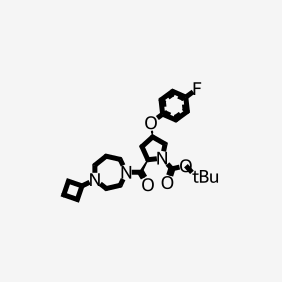 CC(C)(C)OC(=O)N1C[C@@H](Oc2ccc(F)cc2)C[C@@H]1C(=O)N1CCCN(C2CCC2)CC1